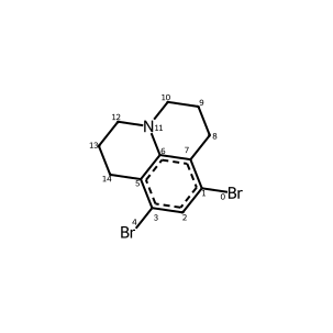 Brc1cc(Br)c2c3c1CCCN3CCC2